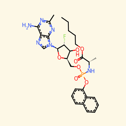 CCCCCOC(=O)[C@H](C)NP(=O)(OC[C@H]1O[C@@H](n2cnc3c(N)nc(C)nc32)[C@H](F)C1O)Oc1cccc2ccccc12